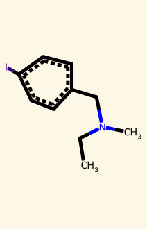 CCN(C)Cc1ccc(I)cc1